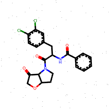 O=C(NC(Cc1ccc(Cl)c(Cl)c1)C(=O)N1CCC2OCC(=O)C21)c1ccccc1